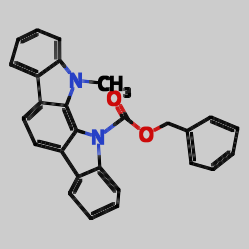 Cn1c2ccccc2c2ccc3c4ccccc4n(C(=O)OCc4ccccc4)c3c21